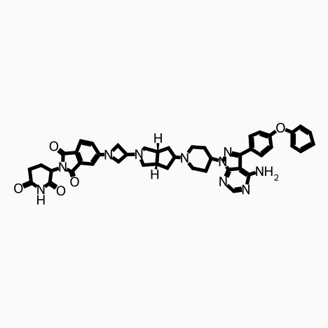 Nc1ncnc2c1c(-c1ccc(Oc3ccccc3)cc1)nn2C1CCN(C2C[C@@H]3CN(C4CN(c5ccc6c(c5)C(=O)N(C5CCC(=O)NC5=O)C6=O)C4)C[C@@H]3C2)CC1